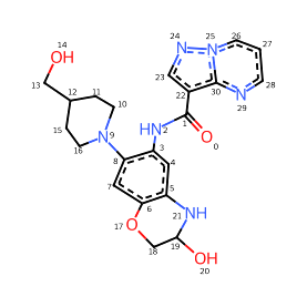 O=C(Nc1cc2c(cc1N1CCC(CO)CC1)OCC(O)N2)c1cnn2cccnc12